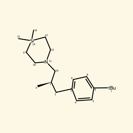 C[C@H](Cc1ccc(C(C)(C)C)cc1)CN1CC[Si](C)(C)CC1